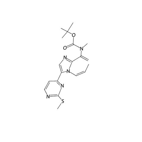 C=C(c1ncc(-c2ccnc(SC)n2)n1/C=C\C)N(C)C(=O)OC(C)(C)C